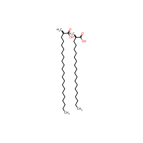 C=C(CCCCCCCCCCCCCCCCCC)C(=O)O.C=C(CCCCCCCCCCCCCCCCCCCC)C(=O)O